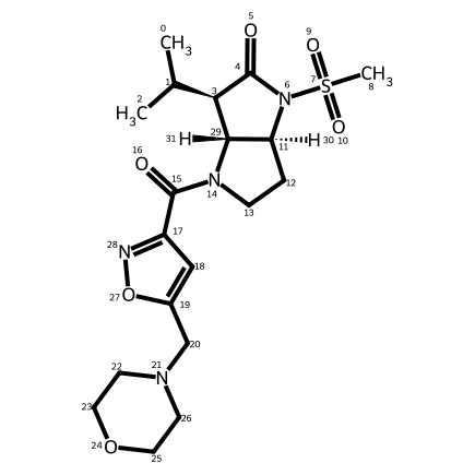 CC(C)[C@H]1C(=O)N(S(C)(=O)=O)[C@H]2CCN(C(=O)c3cc(CN4CCOCC4)on3)[C@H]12